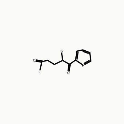 O=C(Cl)CCC(Br)C(=O)c1ccccn1